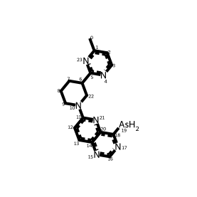 Cc1ccnc(C2CCCN(c3ccc4ncnc([AsH2])c4n3)C2)n1